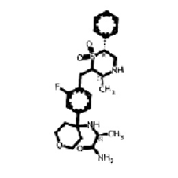 C[C@H](NC1(c2ccc(CC3[C@H](C)NC[C@@H](c4ccccc4)S3(=O)=O)c(F)c2)CCOCC1)C(N)=O